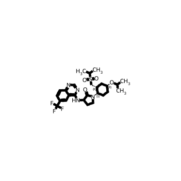 CC(C)O[C@@H]1CC[C@H](N2CCC(Nc3ncnc4ccc(C(F)(F)F)cc34)C2=O)[C@H](CS(=O)(=O)C(C)C)C1